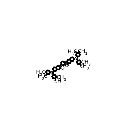 Cc1ccc(N(c2ccc(C)c(C)c2)c2ccc3cc4c(cc3c2)oc2c4ccc3c4cc5ccc(N(c6ccc(C)c(C)c6)c6ccc(C)c(C)c6)cc5cc4oc32)cc1C